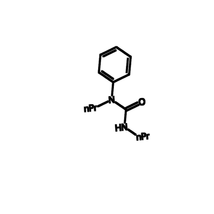 CCCNC(=O)N(CCC)c1ccccc1